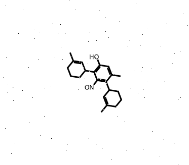 CC1=CC(c2c(C)cc(O)c(C3C=C(C)CCC3)c2N=O)CCC1